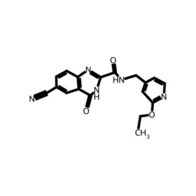 CCOc1cc(CNC(=O)c2nc3ccc(C#N)cc3c(=O)[nH]2)ccn1